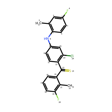 Cc1cc(F)ccc1Nc1ccc(C(=S)c2cccc(F)c2C)c(Cl)c1